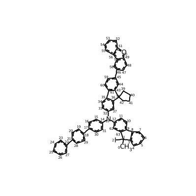 CC1(I)c2ccccc2-c2ccc(N(c3ccc(-c4ccc(-c5ccccc5)cc4)cc3)c3ccc4c(c3)C3(CCCC3)c3cc(-c5ccc6oc7ccccc7c6c5)ccc3-4)cc21